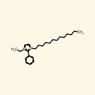 CCCCCCCCCCCCCn1cc[n+](CC)c1-c1ccccc1